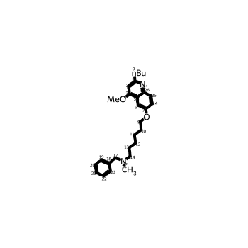 CCCCc1cc(OC)c2cc(OCCCCCCN(C)Cc3ccccc3)ccc2n1